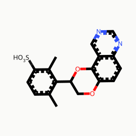 Cc1ccc(S(=O)(=O)O)c(C)c1C1COc2ccc3ncncc3c2O1